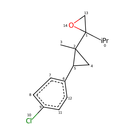 CC(C)C1(C2(C)CC2c2ccc(Cl)cc2)CO1